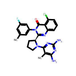 N#Cc1cc(F)cc(-n2c([C@@H]3CCCN3c3nc(N)nc(N)c3C#N)nc3cccc(Cl)c3c2=O)c1